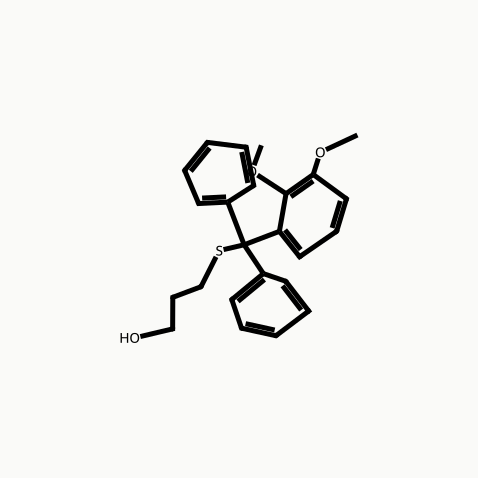 COc1cccc(C(SCCCO)(c2ccccc2)c2ccccc2)c1OC